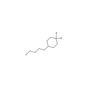 FC1(F)CCC(CCCCI)CC1